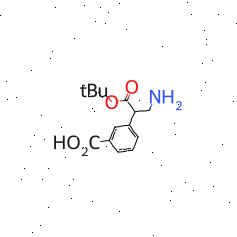 CC(C)(C)OC(=O)C(CN)c1cccc(C(=O)O)c1